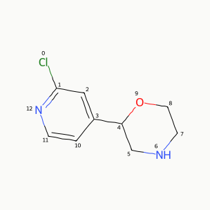 Clc1cc(C2CNCCO2)ccn1